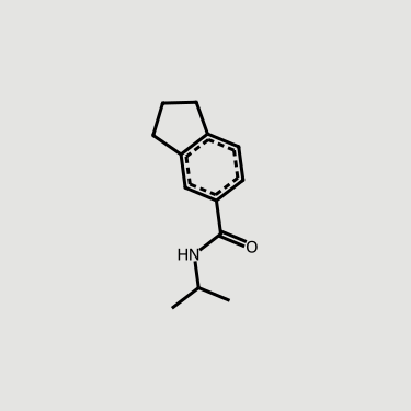 CC(C)NC(=O)c1ccc2c(c1)CCC2